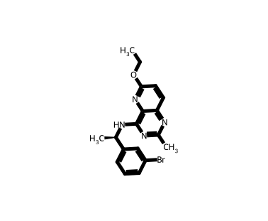 CCOc1ccc2nc(C)nc(N[C@H](C)c3cccc(Br)c3)c2n1